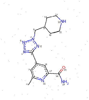 Cc1cc(-c2nnn(CC3CCNCC3)n2)cc(C(N)=O)n1